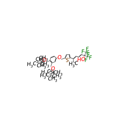 CC/C(=C\C=C\C(O)(C(F)(F)F)C(F)(F)F)c1ccc(COc2ccc(CO[Si](C)(C)C(C)(C)C)c(CO[Si](C)(C)C(C)(C)C)c2)s1